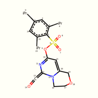 CC(C)c1cc(C(C)C)c(S(=O)(=O)OC2=NC(=C=O)N3CCOCC3=C2)c(C(C)C)c1